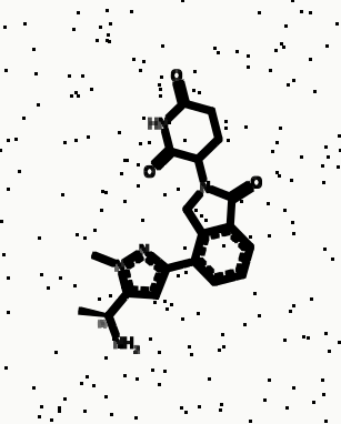 C[C@H](N)c1cc(-c2cccc3c2CN(C2CCC(=O)NC2=O)C3=O)nn1C